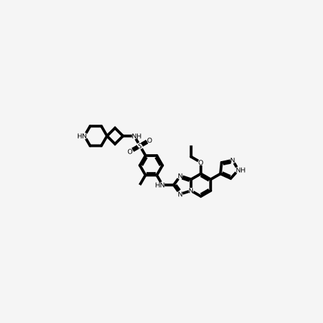 CCOc1c(-c2cn[nH]c2)ccn2nc(Nc3ccc(S(=O)(=O)NC4CC5(CCNCC5)C4)cc3C)nc12